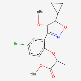 CCCCOC1C(c2cc(Br)ccc2OC(C)C(=O)OC(C)(C)C)=NOC1C1CC1